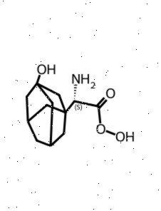 N[C@H](C(=O)OO)C12CC3CC(CC(O)(C3)C1)C2